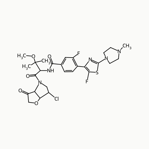 COC(C)(C)C(NC(=O)c1ccc(-c2nc(N3CCN(C)CC3)sc2F)c(F)c1)C(=O)N1CC(Cl)C2OCC(=O)C21